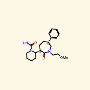 COCCN1C[C@H](c2ccccc2)CC[C@H](C2CCCCN2C(N)=O)C1=O